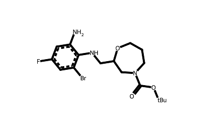 CC(C)(C)OC(=O)N1CCCOC(CNc2c(N)cc(F)cc2Br)C1